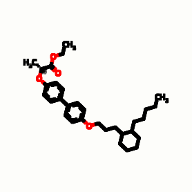 CCCCCC1CCCCC1CCCOc1ccc(-c2ccc(O[C@H](C)C(=O)OCC)cc2)cc1